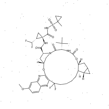 COc1ccc2nc3c(nc2c1)O[C@@H]1C[C@@H](C(=O)N[C@]2(C(=O)NS(=O)(=O)C4(C)CC4)C[C@H]2C(F)F)N(C1)C(=O)[C@H](C(C)(C)C)NC(=O)O[C@@H]1CC2C[C@@H]2[C@H]1CCCCC3(F)F